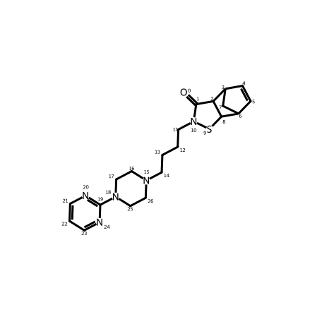 O=C1C2C3C=CC(C3)C2SN1CCCCN1CCN(c2ncccn2)CC1